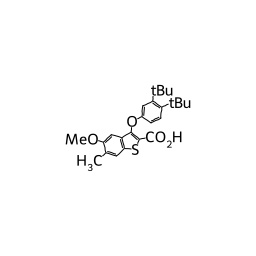 COc1cc2c(Oc3ccc(C(C)(C)C)c(C(C)(C)C)c3)c(C(=O)O)sc2cc1C